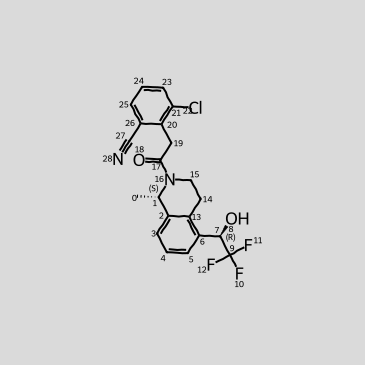 C[C@H]1c2cccc([C@@H](O)C(F)(F)F)c2CCN1C(=O)Cc1c(Cl)cccc1C#N